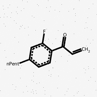 C=CC(=O)c1ccc(CCCCC)cc1F